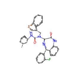 Cc1cccc(NC(=O)N(Cc2csc3ccccc23)C2N=C(c3ccccc3F)c3ccccc3NC2=O)c1